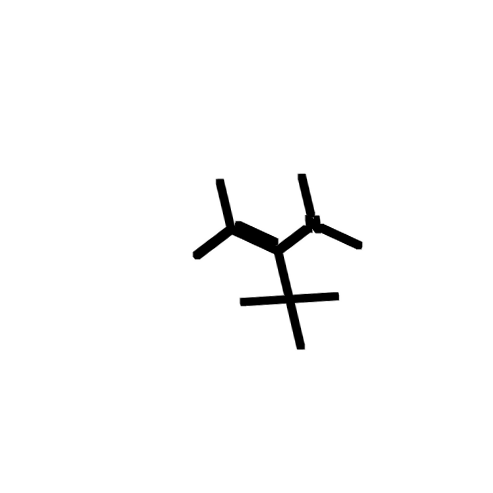 CC(C)=C(N(C)C)C(C)(C)C